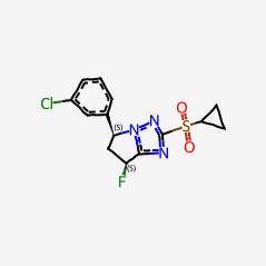 O=S(=O)(c1nc2n(n1)[C@H](c1cccc(Cl)c1)C[C@@H]2F)C1CC1